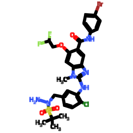 Cn1c(Nc2cc(CN(N)S(=O)(=O)C(C)(C)C)ccc2Cl)nc2cc(C(=O)Nc3ccc(Br)cc3)c(OCC(F)F)cc21